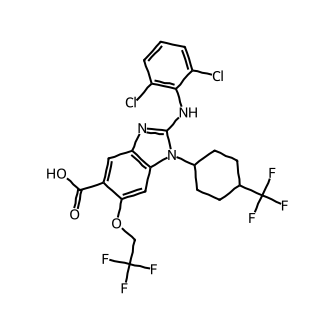 O=C(O)c1cc2nc(Nc3c(Cl)cccc3Cl)n(C3CCC(C(F)(F)F)CC3)c2cc1OCC(F)(F)F